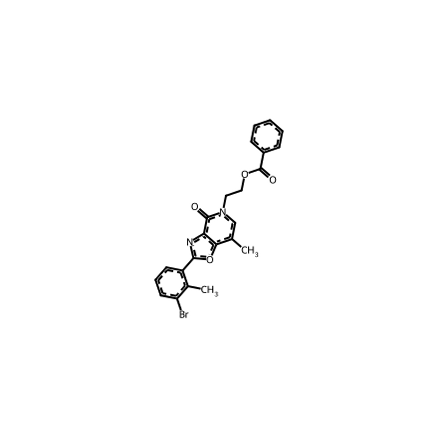 Cc1c(Br)cccc1-c1nc2c(=O)n(CCOC(=O)c3ccccc3)cc(C)c2o1